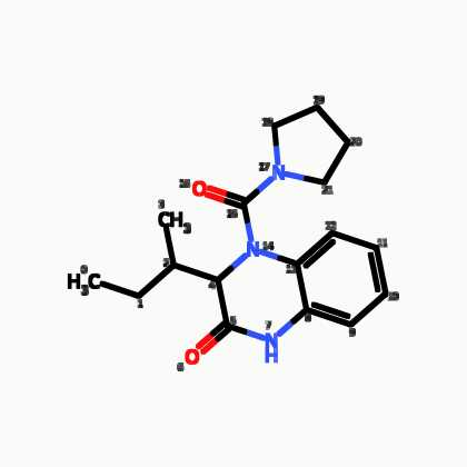 CCC(C)C1C(=O)Nc2ccccc2N1C(=O)N1CCCC1